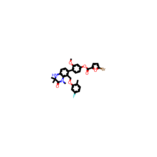 COc1cc(OC(=O)c2ccc(Br)o2)ccc1-c1ccc2c(c1COc1cc(F)ccc1C)N(C)C(=O)C(C)(C)N2